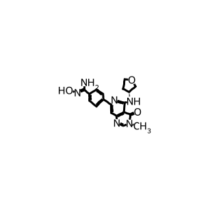 Cn1cnc2cc(-c3ccc(C(N)=NO)cc3)nc(N[C@@H]3CCOC3)c2c1=O